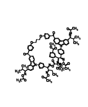 CCC(=NOC(C)=O)C(=NOC(C)=O)c1ccc(-n2c3ccc(C(=O)c4ccc(OCCCOc5ccc(C(=O)c6ccc7c(c6)c6cc(C(=NOC(C)=O)C(C)C)ccc6n7-c6ccc(C(=NOC(C)=O)C(=NOC(C)=O)c7cccc(C(=O)OC)c7)cc6)cc5)cc4)cc3c3cc(C(=NOC(C)=O)C(C)C)ccc32)cc1